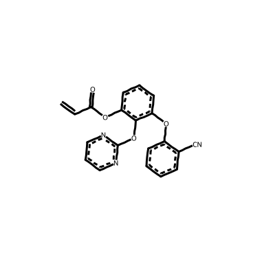 C=CC(=O)Oc1cccc(Oc2ccccc2C#N)c1Oc1ncccn1